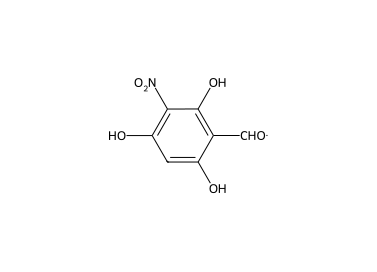 O=[C]c1c(O)cc(O)c([N+](=O)[O-])c1O